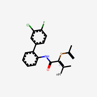 C=C(C)S/C(C(=O)Nc1ccccc1-c1ccc(F)c(Cl)c1)=C(\C)CCC